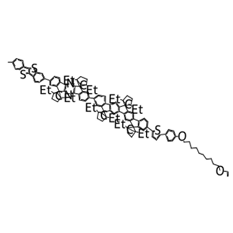 C=COCCCCCCCCCCOc1ccc(-c2ccc(-c3ccc4c(c3)C3(c5cc6c(cc5-4)C4(c5cc7c(cc5-6)C5(c6cc(-c8ccc9c(c8)C8(c%10nc%11c(nc%10-9)C9(c%10cc(-c%12ccc%13c(c%12)sc%12c%14ccc(C)cc%14sc%13%12)ccc%10-%11)C%10(CC)CCC9(CC)CC%10)C9(CC)CCC8(CC)CC9)ccc6-7)C6(CC)CCC5(CC)CC6)C5(CC)CCC4(CC)CC5)C4(CC)CCC3(CC)CC4)s2)cc1